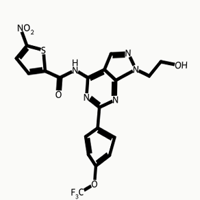 O=C(Nc1nc(-c2ccc(OC(F)(F)F)cc2)nc2c1cnn2CCO)c1ccc([N+](=O)[O-])s1